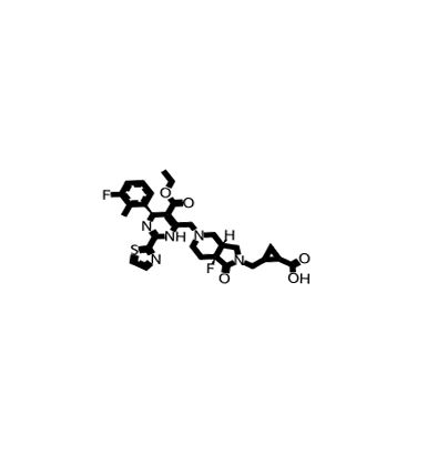 CCOC(=O)C1=C(CN2CC[C@]3(F)C(=O)N(CC4CC4C(=O)O)C[C@@H]3C2)NC(c2nccs2)=N[C@H]1c1cccc(F)c1C